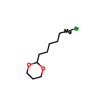 [Br][Mg][CH2]CCCCC1OCCCO1